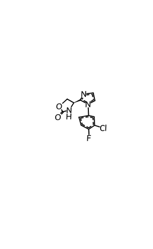 O=C1N[C@H](c2nccn2-c2ccc(F)c(Cl)c2)CO1